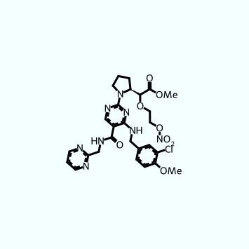 COC(=O)C(OCCO[N+](=O)[O-])[C@@H]1CCCN1c1ncc(C(=O)NCc2ncccn2)c(NCc2ccc(OC)c(Cl)c2)n1